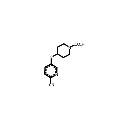 N#Cc1ccc(SC2CCN(C(=O)O)CC2)cn1